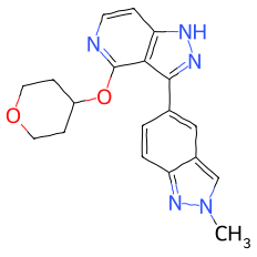 Cn1cc2cc(-c3n[nH]c4ccnc(OC5CCOCC5)c34)ccc2n1